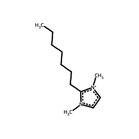 CCCCCCCc1n(C)cc[n+]1C